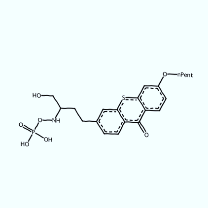 CCCCCOc1ccc2c(=O)c3ccc(CCC(CO)NOP(=O)(O)O)cc3sc2c1